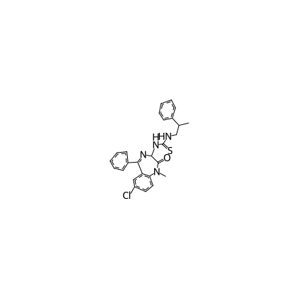 CC(CNC(=S)NC1N=C(c2ccccc2)c2cc(Cl)ccc2N(C)C1=O)c1ccccc1